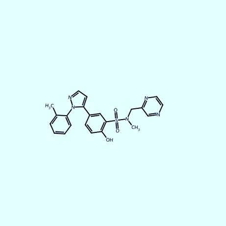 Cc1ccccc1-n1nccc1-c1ccc(O)c(S(=O)(=O)N(C)Cc2cnccn2)c1